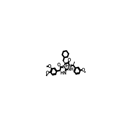 COc1cccc([C@H](C)NC(=O)[C@H](CC2CCCCC2)N(C(=N)N)C(=O)Cc2ccc(OC)c(OC)c2)c1